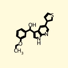 CCOc1cccc(C(O)c2c[nH]c3ncc(C4C=CSC4)cc23)c1